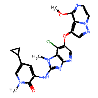 COc1nccn2ncc(Oc3cnc4nc(Nc5cc(C6CC6)cn(C)c5=O)n(C)c4c3Cl)c12